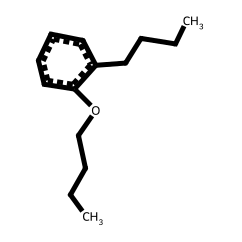 CCCCOc1ccccc1CCCC